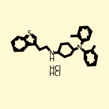 Cc1ccccc1N(c1ccccc1C)C1CCC(NCCc2csc3ccccc23)CC1.Cl.Cl